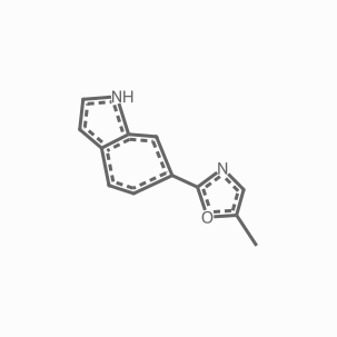 Cc1cnc(-c2ccc3cc[nH]c3c2)o1